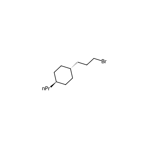 CCC[C@H]1CC[C@H](CCCBr)CC1